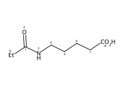 CCC(=O)NCCCCC(=O)O